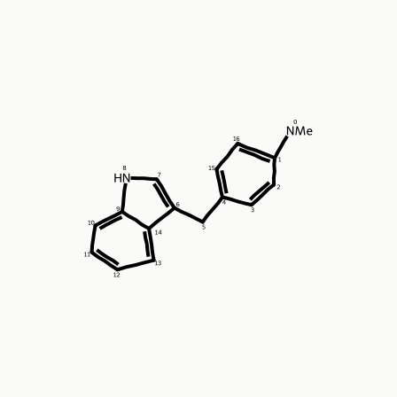 CNc1ccc(Cc2c[nH]c3ccccc23)cc1